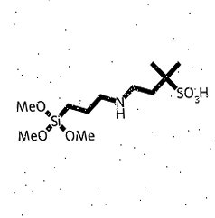 CO[Si](CCCNCCC(C)(C)S(=O)(=O)O)(OC)OC